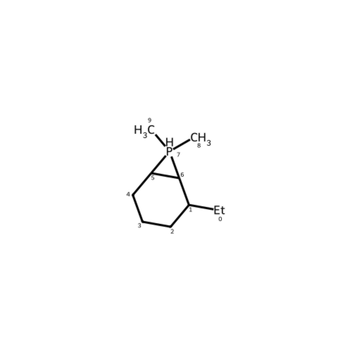 CCC1CCCC2C1[PH]2(C)C